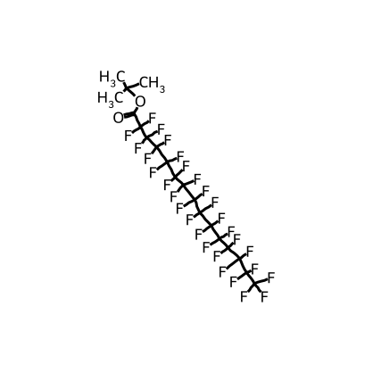 CC(C)(C)OC(=O)C(F)(F)C(F)(F)C(F)(F)C(F)(F)C(F)(F)C(F)(F)C(F)(F)C(F)(F)C(F)(F)C(F)(F)C(F)(F)C(F)(F)C(F)(F)C(F)(F)F